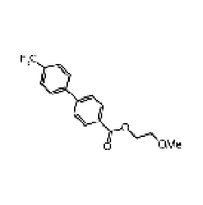 COCCOC(=O)c1ccc(-c2ccc(C(F)(F)F)cc2)cc1